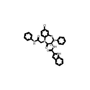 O=C(CN1C(=O)[C@H](NC(=O)c2cc3ccccc3[nH]2)[C@H](c2ccccc2)Sc2cc(Cl)ccc21)Nc1ccccc1